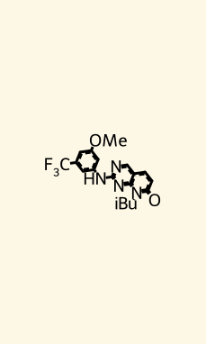 CCC(C)n1c(=O)ccc2cnc(Nc3cc(OC)cc(C(F)(F)F)c3)nc21